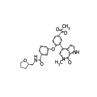 Cn1cc(-c2cc(S(C)(=O)=O)ccc2Oc2cccc(C(=O)NC[C@H]3CCCO3)c2)c2cc[nH]c2c1=O